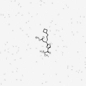 CN(C)C(=O)c1coc([C@H](CCCC2CCC2)CC(=O)OC(C)(C)C)n1